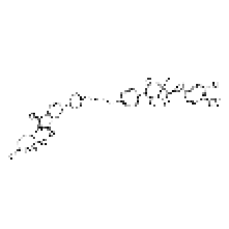 CC1(C)[C@H](NC(=O)c2ccc(CCCCN3CC=C(c4ccc5c(c4)C(=O)N(C4CCC(=O)NC4=O)C5=O)CC3)cc2)C(C)(C)[C@H]1Oc1ccc(C#N)c(Cl)c1